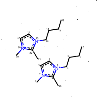 CCCC[n+]1ccn(C)c1C.CCCC[n+]1ccn(C)c1C